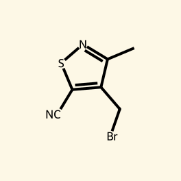 Cc1nsc(C#N)c1CBr